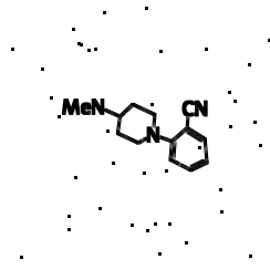 CNC1CCN(c2ccccc2C#N)CC1